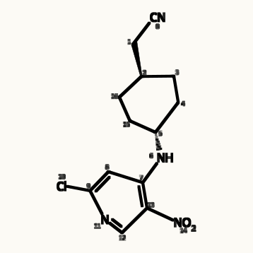 N#CC[C@H]1CC[C@H](Nc2cc(Cl)ncc2[N+](=O)[O-])CC1